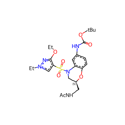 CCOc1nn(CC)cc1S(=O)(=O)N1C[C@H](CNC(C)=O)Oc2ccc(NC(=O)OC(C)(C)C)cc21